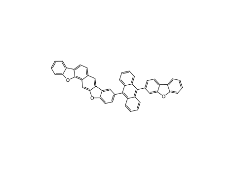 c1ccc2c(c1)oc1cc(-c3c4ccccc4c(-c4ccc5oc6cc7c(ccc8c9ccccc9oc78)cc6c5c4)c4ccccc34)ccc12